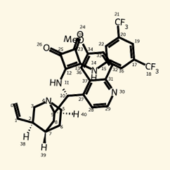 C=C[C@H]1CN2CC[C@H]1C[C@@H]2[C@H](Nc1c(Nc2cc(C(F)(F)F)cc(C(F)(F)F)c2)c(=O)c1=O)c1ccnc2ccc(OC)cc12